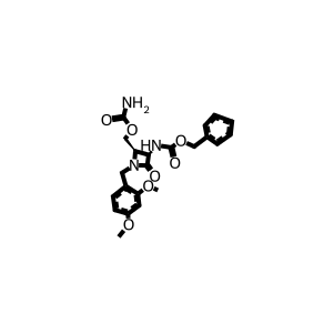 COc1ccc(CN2C(=O)[C@H](NC(=O)OCc3ccccc3)[C@@H]2COC(N)=O)c(OC)c1